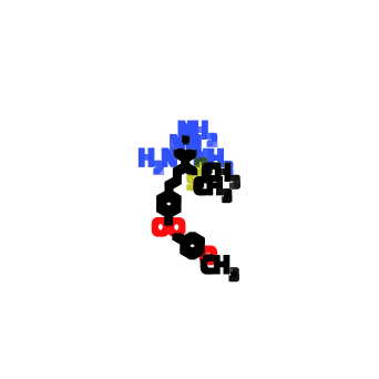 COc1ccc(COC(=O)c2ccc(CCCC(c3c(N)nc(N)nc3N)C(SC)SC)cc2)cc1